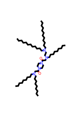 CCCCCCCCCCCCN(CCCCCCCCCCCC)CCN(CCCCCCCCC)CC(=O)N1CCN(C(=O)CN(CCCCCCCCC)CCCCCCCCC)CC1